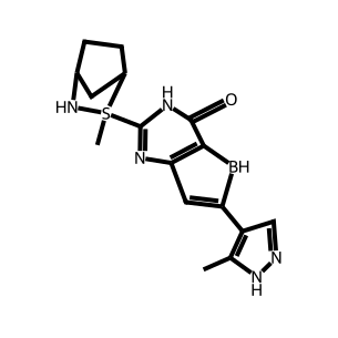 Cc1[nH]ncc1C1=Cc2nc(S3(C)NC4CCC3C4)[nH]c(=O)c2B1